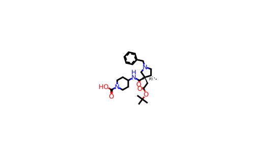 C[C@H]1CN(Cc2ccccc2)C[C@@]1(CC(=O)OC(C)(C)C)C(=O)NC1CCN(C(=O)O)CC1